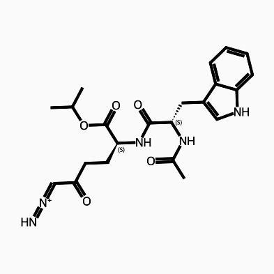 CC(=O)N[C@@H](Cc1c[nH]c2ccccc12)C(=O)N[C@@H](CCC(=O)C=[N+]=N)C(=O)OC(C)C